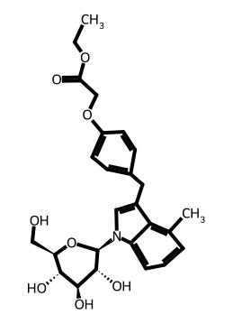 CCOC(=O)COc1ccc(Cc2cn([C@@H]3O[C@H](CO)[C@@H](O)[C@H](O)[C@H]3O)c3cccc(C)c23)cc1